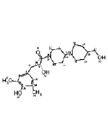 Cc1cc(C[C@@H](O)C(=O)N2CCC(N3CCC(CO)CC3)CC2)cc(C)c1O